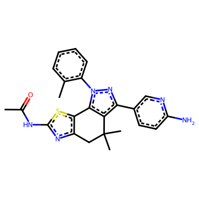 CC(=O)Nc1nc2c(s1)-c1c(c(-c3ccc(N)nc3)nn1-c1ccccc1C)C(C)(C)C2